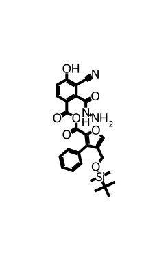 CC(C)(C)[Si](C)(C)OCc1coc(C(=O)OC(=O)c2ccc(O)c(C#N)c2C(=O)NN)c1-c1ccccc1